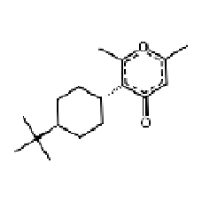 Cc1cc(=O)c([C@H]2CC[C@H](C(C)(C)C)CC2)c(C)o1